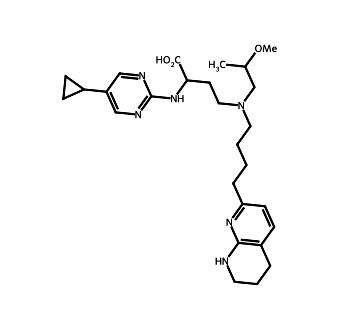 COC(C)CN(CCCCc1ccc2c(n1)NCCC2)CCC(Nc1ncc(C2CC2)cn1)C(=O)O